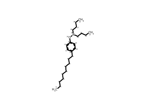 CCCCCCCCCCc1ccc([O][Al]([CH2]CCC)[CH2]CCC)cc1